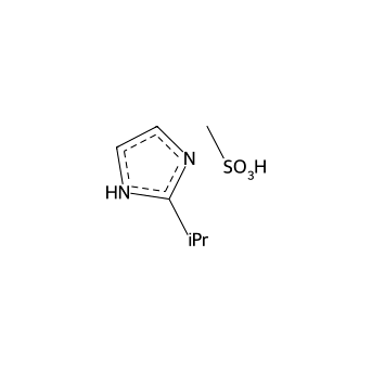 CC(C)c1ncc[nH]1.CS(=O)(=O)O